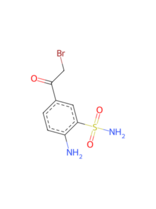 Nc1ccc(C(=O)CBr)cc1S(N)(=O)=O